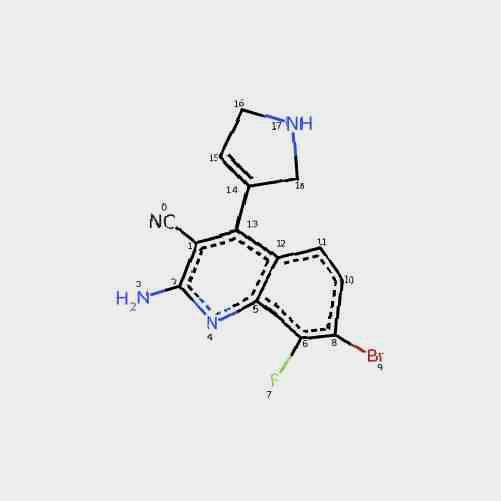 N#Cc1c(N)nc2c(F)c(Br)ccc2c1C1=CCNC1